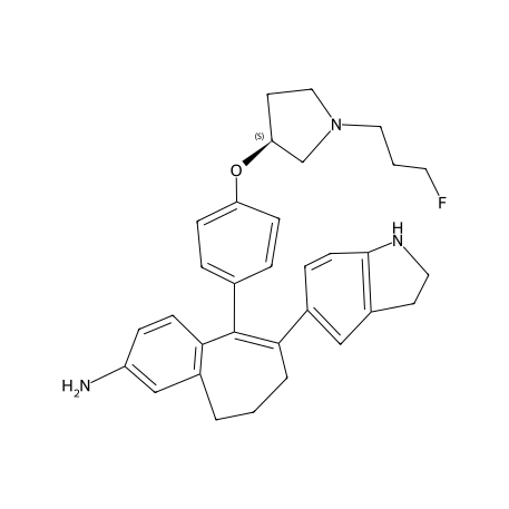 Nc1ccc2c(c1)CCCC(c1ccc3c(c1)CCN3)=C2c1ccc(O[C@H]2CCN(CCCF)C2)cc1